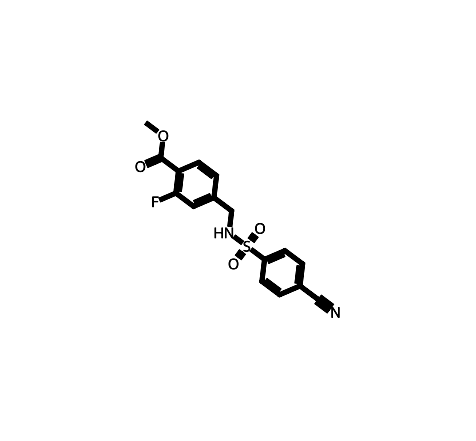 COC(=O)c1ccc(CNS(=O)(=O)c2ccc(C#N)cc2)cc1F